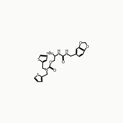 CCCCC(COC(=O)N(Cc1cccs1)Cc1cccs1)NC(=O)NCc1ccc2c(c1)OCO2